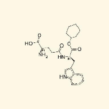 N[C@H](CCC(=O)N[C@H](Cc1c[nH]c2ccccc12)C(=O)OC1CCCCC1)C(=O)O